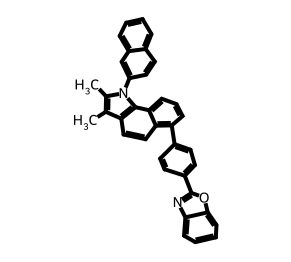 Cc1c(C)n(-c2ccc3ccccc3c2)c2c1ccc1c(-c3ccc(-c4nc5ccccc5o4)cc3)cccc12